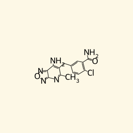 Cc1nc2nonc2c(N)c1Cc1ccc(Cl)c(C(N)=O)c1